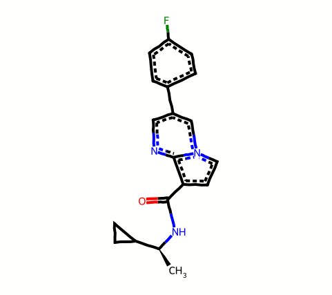 C[C@H](NC(=O)c1ccn2cc(-c3ccc(F)cc3)cnc12)C1CC1